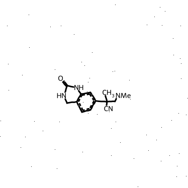 CNCC(C)(C#N)c1ccc2c(c1)NC(=O)NC2